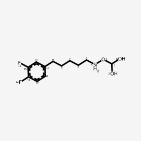 OC(O)O[SiH2]CCCCCc1ccc(F)c(F)c1